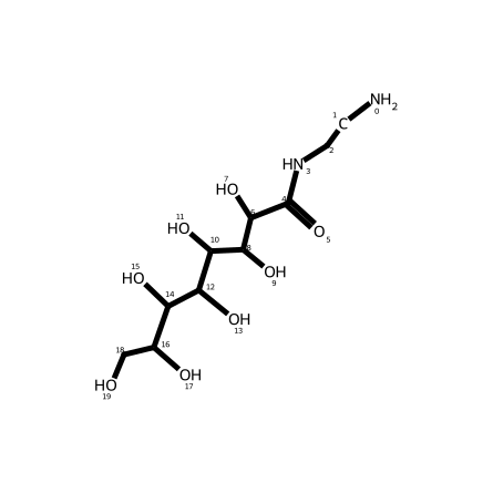 NCCNC(=O)C(O)C(O)C(O)C(O)C(O)C(O)CO